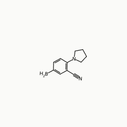 Bc1ccc(N2CCCC2)c(C#N)c1